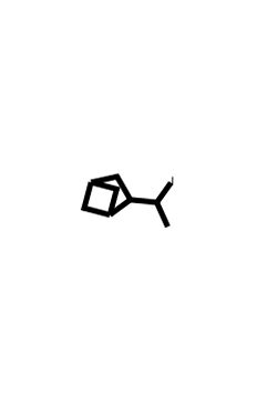 CC(I)C1CC2CC1C2